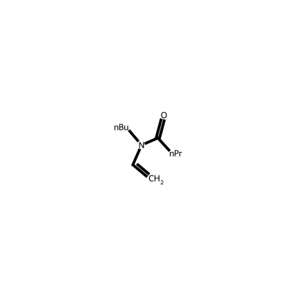 C=CN(CCCC)C(=O)CCC